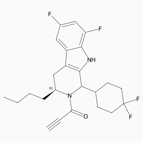 C#CC(=O)N1C(C2CCC(F)(F)CC2)c2[nH]c3c(F)cc(F)cc3c2C[C@@H]1CCCC